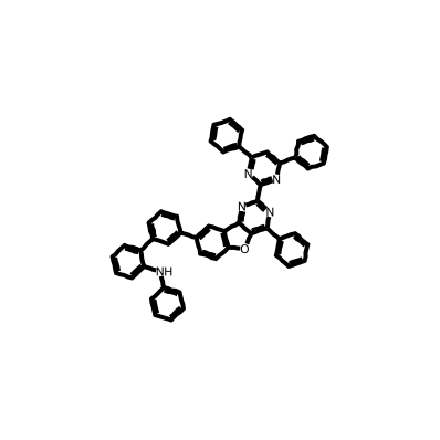 c1ccc(Nc2ccccc2-c2cccc(-c3ccc4oc5c(-c6ccccc6)nc(-c6nc(-c7ccccc7)cc(-c7ccccc7)n6)nc5c4c3)c2)cc1